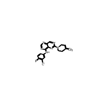 OC1CCN(c2ncc3ncnc(Nc4ccc(F)c(Cl)c4)c3n2)CC1